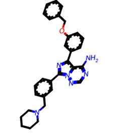 Nc1ncnn2c(-c3cccc(CN4CCCCC4)c3)nc(-c3cccc(OCc4ccccc4)c3)c12